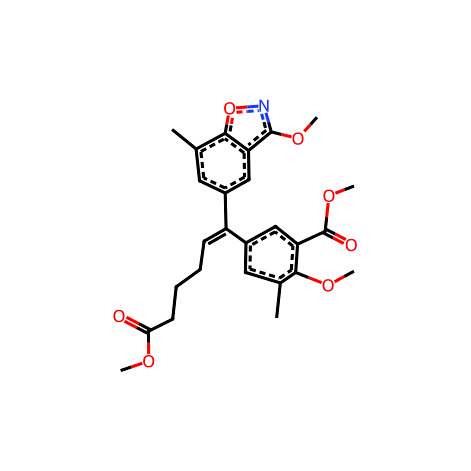 COC(=O)CCC/C=C(\c1cc(C)c(OC)c(C(=O)OC)c1)c1cc(C)c2onc(OC)c2c1